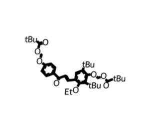 CCOc1c(C=CC(=O)c2ccc(OCOC(=O)C(C)(C)C)cc2)cc(C(C)(C)C)c(OCOC(=O)C(C)(C)C)c1C(C)(C)C